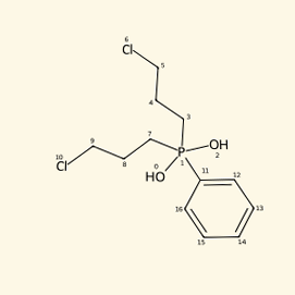 OP(O)(CCCCl)(CCCCl)c1ccccc1